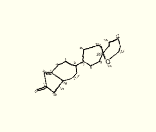 C=C1C=C2CCC(C3CCC4(CCCO4)CC3)CC2CC1